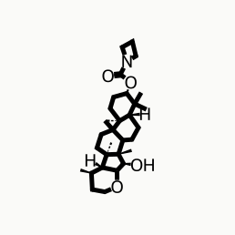 C[C@@H]1CCOC2[C@H]1[C@@]1(C)CCC34C[C@@]35CC[C@H](OC(=O)N3CCC3)C(C)(C)[C@@H]5CCC4[C@]1(C)[C@H]2O